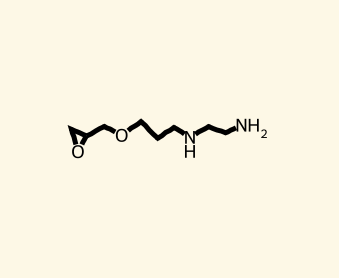 NCCNCCCOCC1CO1